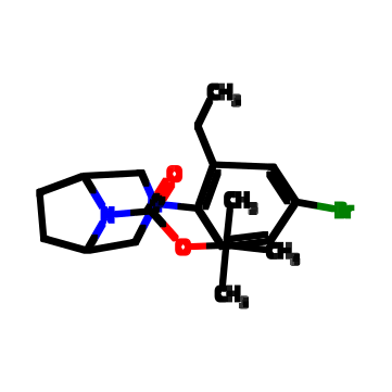 CCc1cc(Br)ccc1N1CC2CCC(C1)N2C(=O)OC(C)(C)C